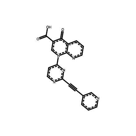 O=C(O)c1cn(-c2ccnc(C#Cc3cccnc3)n2)c2ncccc2c1=O